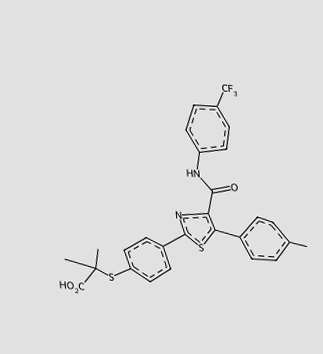 Cc1ccc(-c2sc(-c3ccc(SC(C)(C)C(=O)O)cc3)nc2C(=O)Nc2ccc(C(F)(F)F)cc2)cc1